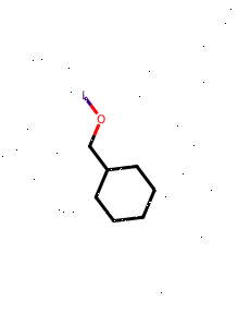 IOCC1CCCCC1